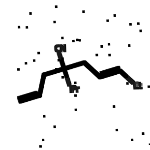 C=CCC(C#N)(CC=CCC)C(C)C